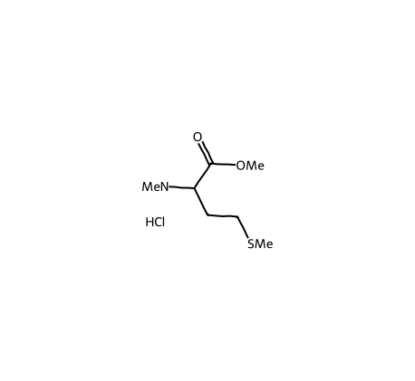 CNC(CCSC)C(=O)OC.Cl